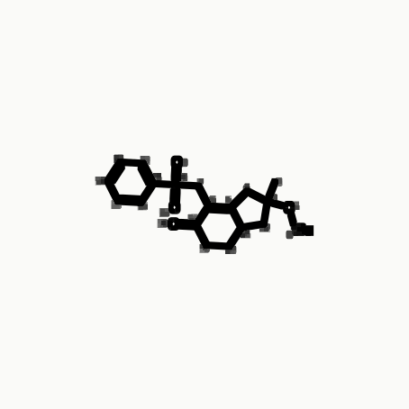 CC(C)(C)OC1(C)CC2=C(CS(=O)(=O)c3ccccc3)C(=O)CCC2C1